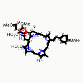 CCC1=C(C)c2cc3[nH]c(cc4nc(c(CC(=O)N[C@@H](CC(=O)OC)C(=O)OC)c5c(C(=O)O)c(C)c(cc1n2)n5N)[C@@H](CCCC(=O)O)[C@@H]4C)c(C)c3/C=C/c1ccc(OC)cc1